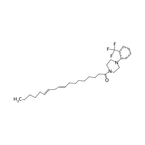 CCCCCC=CCC=CCCCCCCCC(=O)N1CCN(c2ccccc2C(F)(F)F)CC1